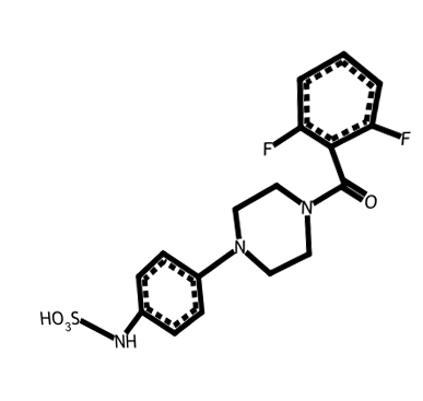 O=C(c1c(F)cccc1F)N1CCN(c2ccc(NS(=O)(=O)O)cc2)CC1